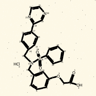 Cl.O=C(O)COc1cccc(CN(Cc2ccc(-c3cnccn3)cc2)S(=O)(=O)c2ccccc2)c1